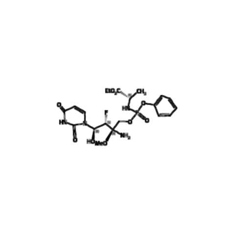 CCOC(=O)[C@H](C)NP(=O)(OC[C@@](N)(OC)[C@@H](F)[C@@H](O)n1ccc(=O)[nH]c1=O)Oc1ccccc1